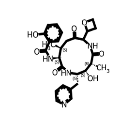 C[C@H]1CC(=O)C(C2CCO2)NC(=O)[C@H](C)[C@H](O)[C@H](Cc2cccnc2)NC(=O)[C@H]1NC(=O)c1ccccc1O